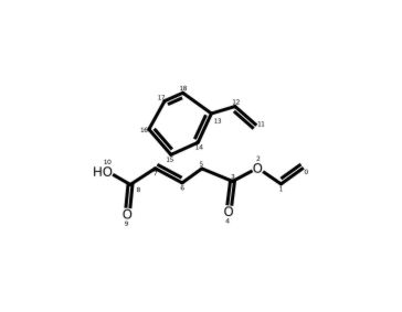 C=COC(=O)CC=CC(=O)O.C=Cc1ccccc1